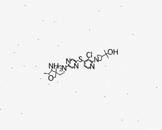 C[C@@H]1OCC2(CCN(c3cnc(Sc4ccnc(N5CC(C(C)(C)O)C5)c4Cl)cn3)CC2)[C@@H]1N